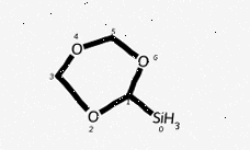 [SiH3]C1OCOCO1